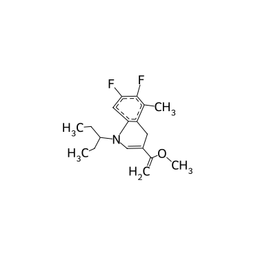 C=C(OC)C1=CN(C(CC)CC)c2cc(F)c(F)c(C)c2C1